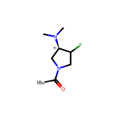 CN(C)[C@@H]1CN(C(=O)C(C)(C)C)CC1F